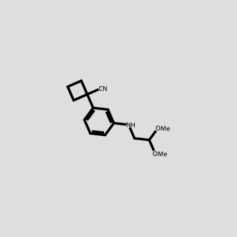 COC(CNc1cccc(C2(C#N)CCC2)c1)OC